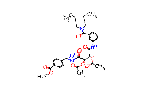 CCCN(CCC)C(=O)c1cccc(NC(=O)C(OC(C)=O)C(OC(C)=O)C(=O)NCc2ccc(C(=O)OC)cc2)c1